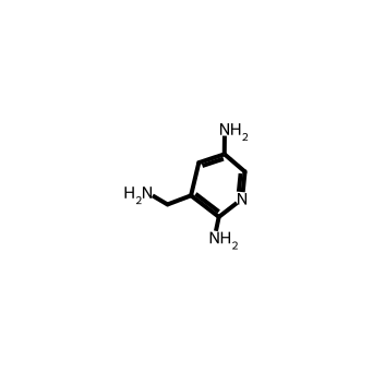 NCc1cc(N)cnc1N